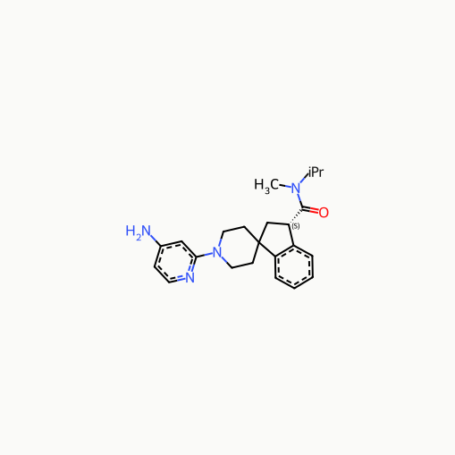 CC(C)N(C)C(=O)[C@H]1CC2(CCN(c3cc(N)ccn3)CC2)c2ccccc21